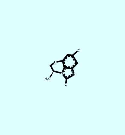 C[C@H]1COc2cc(Cl)cc3nc(Cl)n1c23